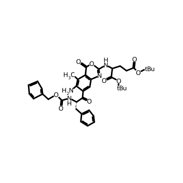 Cc1c(N)c(C(=O)[C@H](Cc2ccccc2)NC(=O)OCc2ccccc2)cc2nc(NC(CCC(=O)OC(C)(C)C)C(=O)OC(C)(C)C)oc(=O)c12